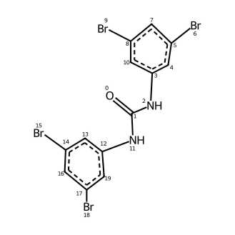 O=C(Nc1cc(Br)cc(Br)c1)Nc1cc(Br)cc(Br)c1